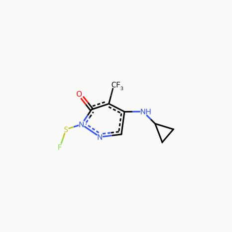 O=c1c(C(F)(F)F)c(NC2CC2)cnn1SF